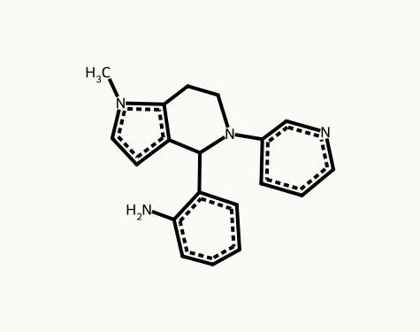 Cn1ccc2c1CCN(c1cccnc1)C2c1ccccc1N